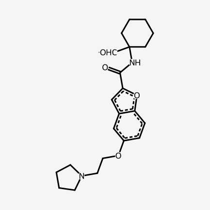 O=[C]C1(NC(=O)c2cc3cc(OCCN4CCCC4)ccc3o2)CCCCC1